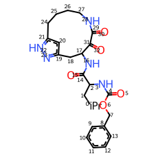 CC(C)CC(NC(=O)OCc1ccccc1)C(=O)NC1Cc2cc([nH]n2)CCCCNC(=O)C1=O